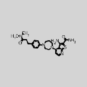 CN(C)C(=O)CCc1ccc(N2CCCN(c3ccnc4sc(C(N)=O)c(N)c34)CC2)cc1